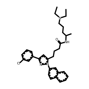 CCN(CC)CCCC(C)NC(=O)CCCc1cc(-c2cccc(Cl)c2)nn1-c1ccc2ccccc2c1